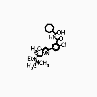 CCN(C(=O)Cn1nc(-c2ccc(Cl)c(C(=O)NC(O)C3CCCCCC3)c2)cc1C)N(C)C